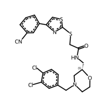 [C-]#[N+]c1cccc(-c2csc(SCC(=O)NC[C@H]3CN(Cc4ccc(Cl)c(Cl)c4)CCO3)n2)c1